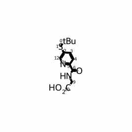 CC(C)(C)Sc1ccc(C(=O)NCC(=O)O)nc1